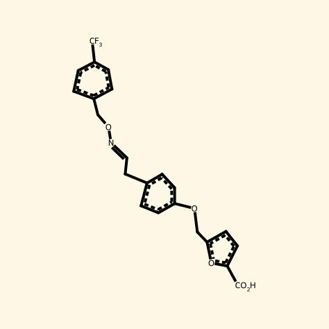 O=C(O)c1ccc(COc2ccc(CC=NOCc3ccc(C(F)(F)F)cc3)cc2)o1